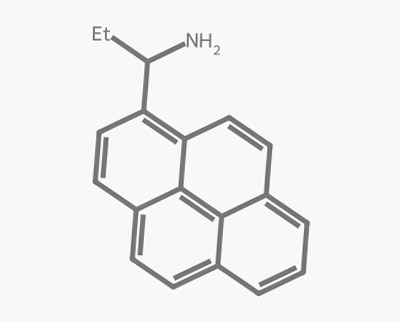 CCC(N)c1ccc2ccc3cccc4ccc1c2c34